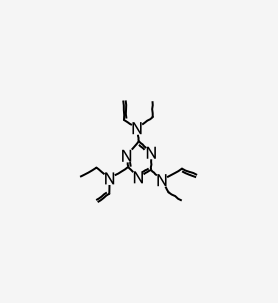 C=CN(CC)c1nc(N(C=C)CC)nc(N(C=C)CC)n1